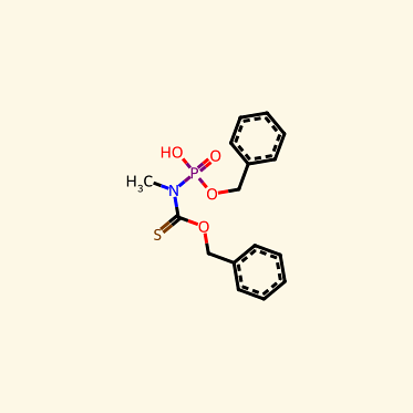 CN(C(=S)OCc1ccccc1)P(=O)(O)OCc1ccccc1